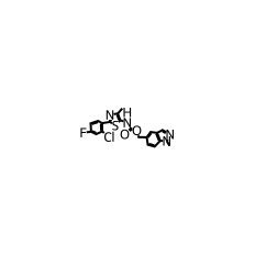 Cc1nc(-c2ccc(F)cc2Cl)sc1NC(=O)OCc1ccc2c(cnn2C)c1